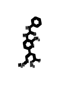 C=N/C=C(\C=C(/C)F)c1ccc(NC(=O)Nc2ccccc2)c(C(F)(F)F)n1